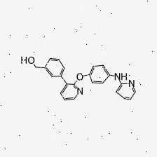 OCc1cccc(-c2cccnc2Oc2ccc(Nc3ccccn3)cc2)c1